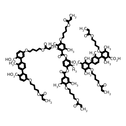 C=CC(=O)OCCCCOc1c(C)cc(C(=O)O)c(C)c1-c1ccc(-c2c(C)c(C(=O)O)cc(C)c2OCCCCOC(=O)C=C)c(C)c1.C=CC(=O)OCCCCOc1cc(C)c(C(=O)Oc2ccc(OC(=O)c3cc(C)c(OCCCCOC(=O)C=C)c(C)c3)c(C)c2)cc1C.C=CC(=O)OCCCCOc1ccc(C(=O)O)c(-c2ccc(-c3cc(OCCCCOC(=O)C=C)ccc3C(=O)O)c(C)c2)c1